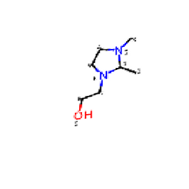 CC1N(C)CCN1CCO